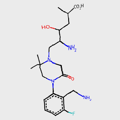 CC(CC(O)C(N)CN1CC(=O)N(c2cccc(F)c2CN)CC1(C)C)C(=O)O